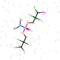 CC(C)N(C(C)C)P(=O)(OCC(F)(F)C(F)F)OCC(F)(F)C(F)P